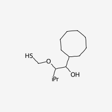 CC(C)C(OCS)C(O)C1CCCCCCC1